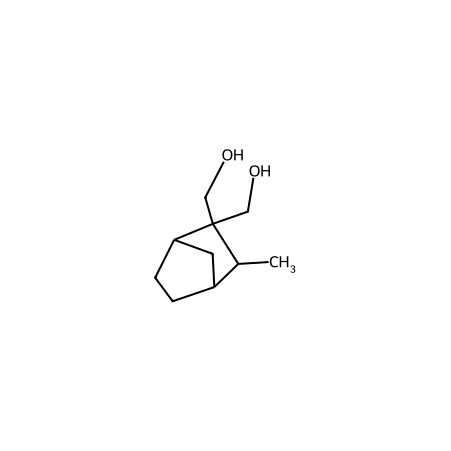 CC1C2CCC(C2)C1(CO)CO